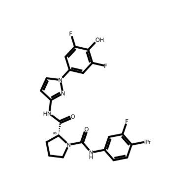 CC(C)c1ccc(NC(=O)N2CCC[C@@H]2C(=O)Nc2ccn(-c3cc(F)c(O)c(F)c3)n2)cc1F